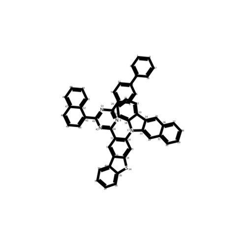 c1ccc(-c2ccc(-c3nc(-c4cc5c(cc4-n4c6ccccc6c6cc7ccccc7cc64)sc4ccccc45)nc(-c4cccc5ccccc45)n3)cc2)cc1